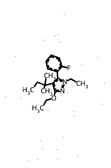 CCOc1nn(CC)c(-c2ccccc2F)c1C(C)(C)CC